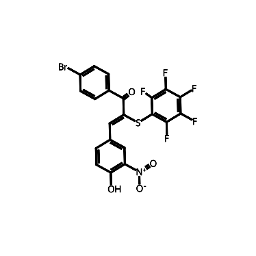 O=C(C(=Cc1ccc(O)c([N+](=O)[O-])c1)Sc1c(F)c(F)c(F)c(F)c1F)c1ccc(Br)cc1